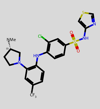 CN[C@H]1CCN(c2cc(C(F)(F)F)ccc2Nc2ccc(S(=O)(=O)Nc3cscn3)cc2Cl)C1